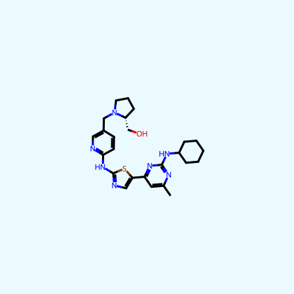 Cc1cc(-c2cnc(Nc3ccc(CN4CCC[C@@H]4CO)cn3)s2)nc(NC2CCCCC2)n1